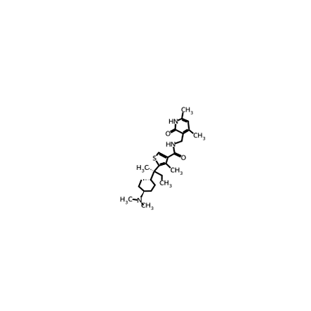 CC[C@](C)(c1scc(C(=O)NCc2c(C)cc(C)[nH]c2=O)c1C)[C@H]1CC[C@H](N(C)C)CC1